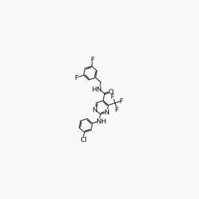 O=C(NCc1cc(F)cc(F)c1)c1cnc(Nc2cccc(Cl)c2)nc1C(F)(F)F